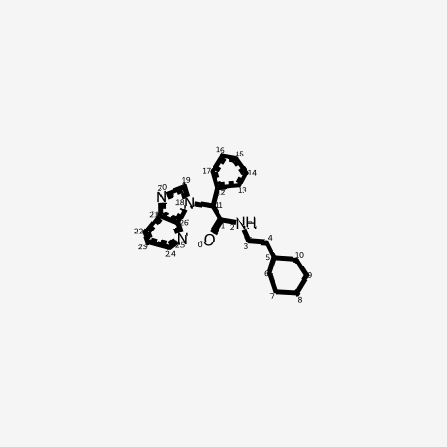 O=C(NCCC1CCCCC1)C(c1ccccc1)n1cnc2cccnc21